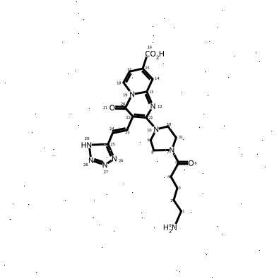 NCCCCC(=O)N1CCN(c2nc3cc(C(=O)O)ccn3c(=O)c2C=Cc2nnn[nH]2)CC1